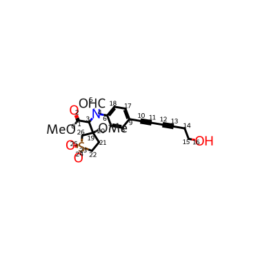 COC(=O)C(N(C=O)c1ccc(C#CC#CCCO)cc1)C1(OC)CCS(=O)(=O)C1